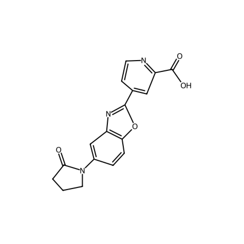 O=C(O)c1cc(-c2nc3cc(N4CCCC4=O)ccc3o2)ccn1